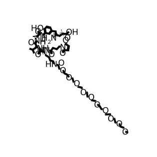 COCCOCCOCCOCCOCCOCCOCCOCCOCCOCC(=O)NCCCC[C@H](NC(=O)CCCN1C(=O)C=CC1=O)C(=O)N[C@H](C(=O)N[C@@H](C)C(=O)Nc1cc(C[C@H](N)C[C@H](C)C(=O)O)ccc1O)C(C)C